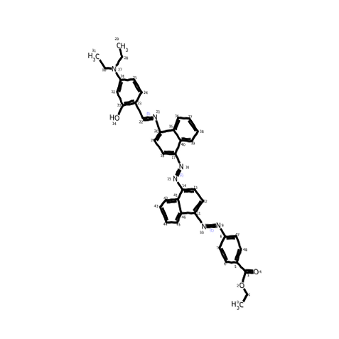 CCOC(=O)c1ccc(/N=N/c2ccc(/N=N/c3ccc(/N=C/c4ccc(N(CC)CC)cc4O)c4ccccc34)c3ccccc23)cc1